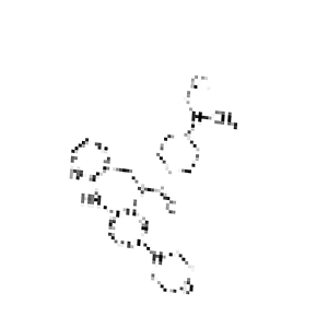 CN(CC(F)(F)F)[C@H]1CC[C@H](C(=O)N2Cc3cccnc3Nc3ccc(N4CCOCC4)cc32)CC1